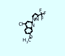 COc1ccc2c(Cl)cc(-n3ccc(C(F)(F)F)n3)nc2c1